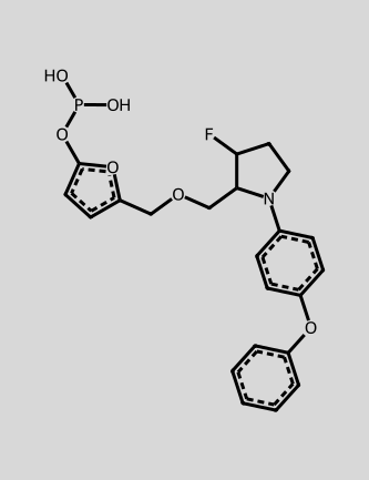 OP(O)Oc1ccc(COCC2C(F)CCN2c2ccc(Oc3ccccc3)cc2)o1